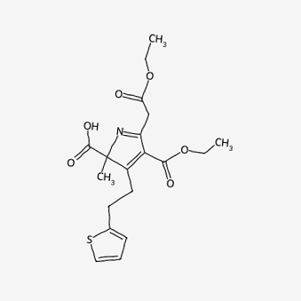 CCOC(=O)CC1=NC(C)(C(=O)O)C(CCc2cccs2)=C1C(=O)OCC